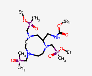 CCOP(C)(=O)CN1CCN(CP(C)(C)=O)CCN(CP(C)(=O)OCC)C(CNC(=O)OC(C)(C)C)C1